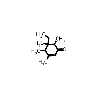 CCC1(C)C(C)C(=O)C=C(C)C1C